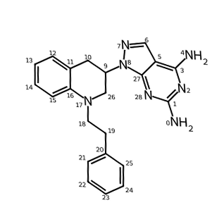 Nc1nc(N)c2cnn(C3Cc4ccccc4N(CCc4ccccc4)C3)c2n1